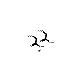 CCCCCCCCCC(=O)CC(=O)[O-].CCCCCCCCCC(=O)CC(=O)[O-].[Ni+2]